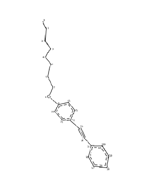 CCCCCCCCOc1ccc(C#Cc2cc[c]cc2)cc1